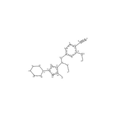 CCC(Oc1ccc(C#N)c(OC)c1)c1oc(C2CCCCC2)nc1C